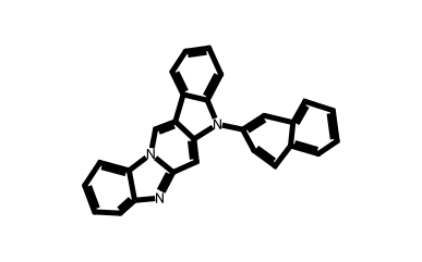 c1ccc2cc(-n3c4ccccc4c4cn5c(cc43)nc3ccccc35)ccc2c1